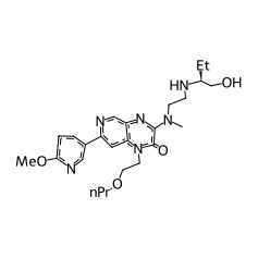 CCCOCCn1c(=O)c(N(C)CCN[C@@H](CC)CO)nc2cnc(-c3ccc(OC)nc3)cc21